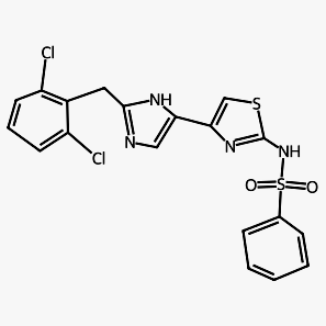 O=S(=O)(Nc1nc(-c2cnc(Cc3c(Cl)cccc3Cl)[nH]2)cs1)c1ccccc1